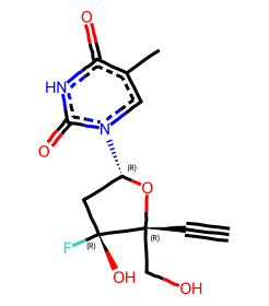 C#C[C@]1(CO)O[C@@H](n2cc(C)c(=O)[nH]c2=O)C[C@@]1(O)F